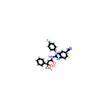 C[C@](O)(CC(=O)Nc1nc2ccc(C#N)cc2n1-c1ccc(F)cc1)c1ccccc1